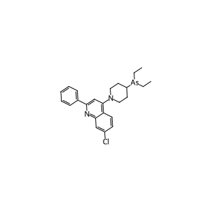 CC[As](CC)C1CCN(c2cc(-c3ccccc3)nc3cc(Cl)ccc23)CC1